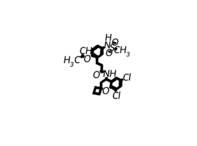 CC(C)Oc1ccc(NS(C)(=O)=O)cc1CCC(=O)NC1CC2(CCC2)Oc2c(Cl)cc(Cl)cc21